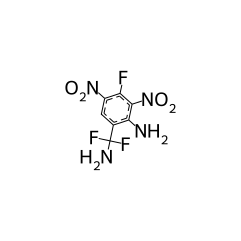 Nc1c(C(N)(F)F)cc([N+](=O)[O-])c(F)c1[N+](=O)[O-]